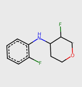 Fc1ccccc1NC1CCO[CH]C1F